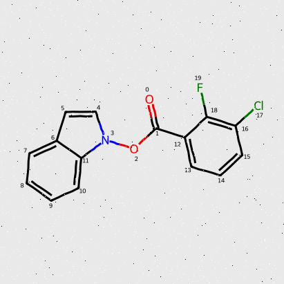 O=C(On1ccc2ccccc21)c1cccc(Cl)c1F